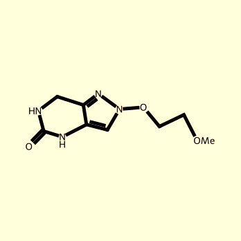 COCCOn1cc2c(n1)CNC(=O)N2